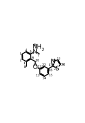 Cc1cccc(N(C)N)c1COc1cccc(-c2nccs2)c1